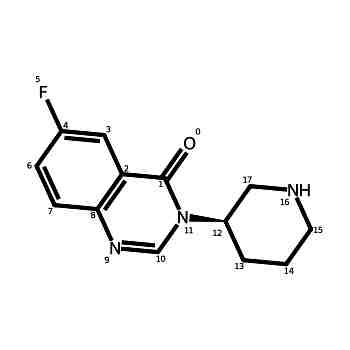 O=c1c2cc(F)ccc2ncn1[C@@H]1CCCNC1